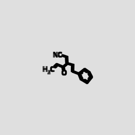 C=CC(=O)C(C=Cc1ccccc1)=CC#N